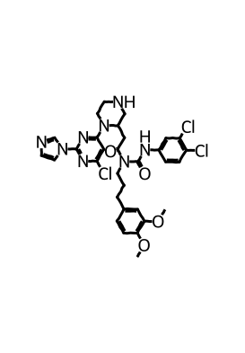 COc1ccc(CCCN(C(=O)CC2CNCCN2c2cc(Cl)nc(-n3ccnc3)n2)C(=O)Nc2ccc(Cl)c(Cl)c2)cc1OC